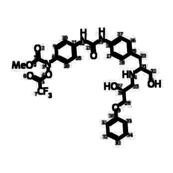 COC(=O)N(OC(=O)C(F)(F)F)c1ccc(NC(=O)Nc2ccc(C[C@@H](CO)NC[C@H](O)COc3ccccc3)cc2)cc1